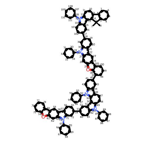 CC1(C)c2ccccc2-c2ccc3c(c21)c1cc(-c2ccc4c5cc6c(cc5n(-c5ccccc5)c4c2)oc2c(-c4ccc5c(c4)c4ccc7c(c8cc(-c9ccc%10c%11cc%12c(cc%11n(-c%11ccccc%11)c%10c9)oc9ccccc9%12)ccc8n7-c7ccccc7)c4n5-c4ccccc4)cccc26)ccc1n3-c1ccccc1